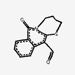 O=Cc1c2n(c(=O)c3ccccc13)CCCS2